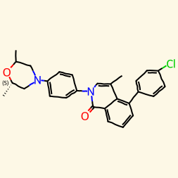 Cc1cn(-c2ccc(N3CC(C)O[C@@H](C)C3)cc2)c(=O)c2cccc(-c3ccc(Cl)cc3)c12